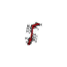 CC1=C(/C=C/C(C)=C/C=C/C(C)=C/C=C/C=C(C)/C=C/C=C(C)/C=C/C2=C(C)C(=O)[C@@H](OC(=O)NC(=O)n3ccnc3)CC2(C)C)C(C)(C)C[C@H](OC(=O)CNC(=O)N2C=CNC2)C1=O